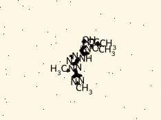 CCn1c(-c2cnc(C)nc2)nc2c(N[C@H]3C[C@H](CO)N(C(=O)OC(C)(C)C)C3)ncnc21